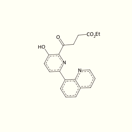 CCOC(=O)CCC(=O)c1nc(-c2cccc3cccnc23)ccc1O